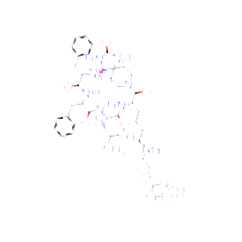 COC(C)OCCNCCCCC(NC(=O)C(CC(C)C)NC(=O)C(Cc1ccccc1)NC(=O)C(N)Cc1ccccc1)C(=O)N1CCC2(CC1)NC(=O)NC2=O